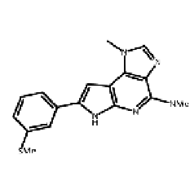 CNc1nc2[nH]c(-c3cccc(SC)c3)cc2c2c1ncn2C